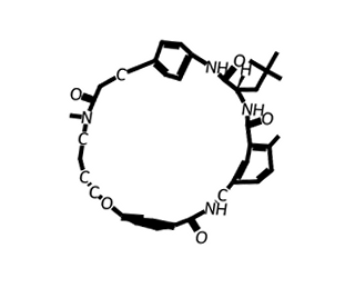 Cc1ccc2cc1C(=O)N[C@@H](CC(C)(C)C)C(=O)Nc1ccc(cc1)CCC(=O)N(C)CCCCOc1ccc(cc1)C(=O)NC2